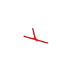 CCC/C=C/CC/C=C/CCCCCCCCCCC(=O)OCC(COCCCCCCCCCCCCCCCCCC)OC(=O)CCCCC/C=C/CC/C=C/CCCCCC